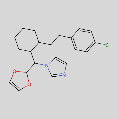 Clc1ccc(CCC2CCCCC2C(C2OC=CO2)n2ccnc2)cc1